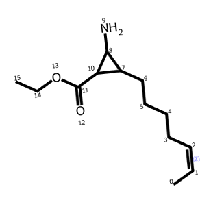 C/C=C\CCCCC1C(N)C1C(=O)OCC